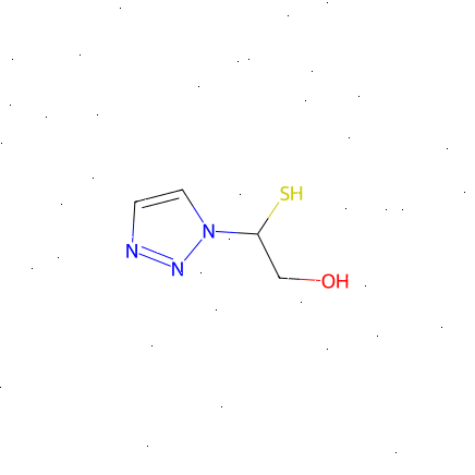 OCC(S)n1ccnn1